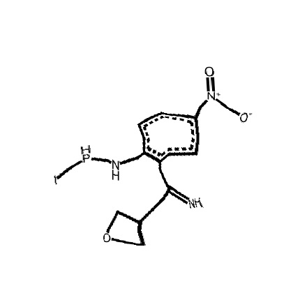 N=C(c1cc([N+](=O)[O-])ccc1NPI)C1COC1